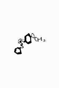 COc1ccc([S+]([O-])Sc2ccccc2)cc1